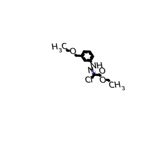 CCOCc1cccc(N/N=C(/Cl)C(=O)OCC)c1